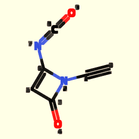 C#CN1C(=O)C=C1N=C=O